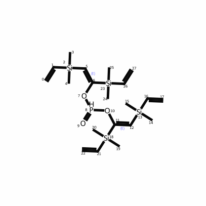 C=C[Si](C)(C)/C=C(\O[PH](=O)O/C(=C\[Si](C)(C)C=C)[Si](C)(C)C=C)[Si](C)(C)C=C